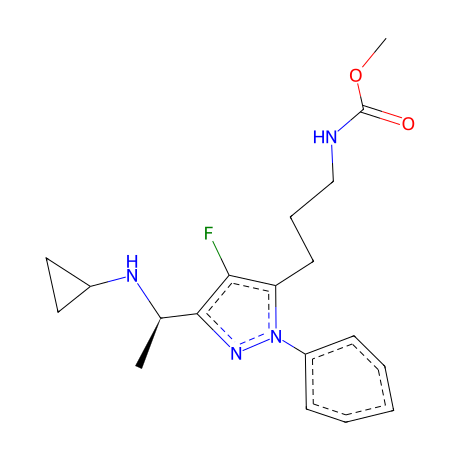 COC(=O)NCCCc1c(F)c([C@@H](C)NC2CC2)nn1-c1ccccc1